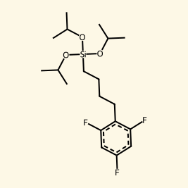 CC(C)O[Si](CCCCc1c(F)cc(F)cc1F)(OC(C)C)OC(C)C